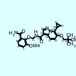 COc1cccc(C(N)=O)c1OCNC(=O)c1cnn2c(C3CC3)c(OCC(C)(C)O)ccc12